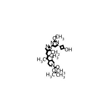 C=c1/c(=C\C(C)=C(/C)C2CCN(C(=O)OC(C)(C)C)CC2F)cnn1-c1cc([C@H]2C[C@H](O)C2)nc(OC)n1